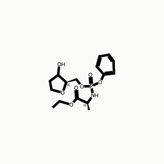 CCOC(=O)[C@H](C)NP(=O)(OC[C@H]1OCCC1O)Oc1ccccc1